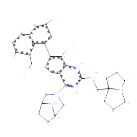 CCc1c(F)ccc2cc(O)cc(-c3ccc4c(N5CC6CCC(C5)N6)nc(OCC56CCCN5CCC6)nc4c3F)c12